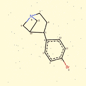 Brc1ccc(C2CCN3CC2C3)cc1